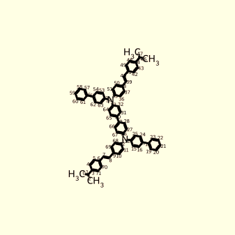 CC(C)c1ccc(/C=C/c2ccc(N(c3ccc(-c4ccccc4)cc3)c3ccc(-c4ccc(N(c5ccc(/C=C/c6ccc(C(C)C)cc6)cc5)c5ccc(-c6ccccc6)cc5)cc4)cc3)cc2)cc1